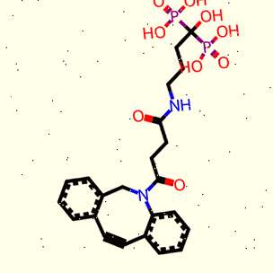 O=C(CCC(=O)N1Cc2ccccc2C#Cc2ccccc21)NCCCC(O)(P(=O)(O)O)P(=O)(O)O